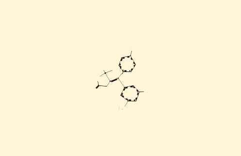 CC1(C)OC(=O)CC1=C(c1ccc(C(F)(F)F)cc1)c1cc(Br)cc(Br)c1